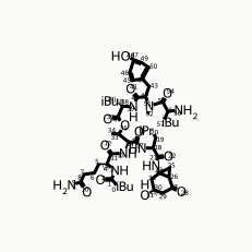 CCC(C)C(=O)N[C@@H](CCCC(N)=O)C(=O)N[C@H](C(=O)NC(CC(C)C)C(=O)NC12CC1C(=O)C[C@@H](O)C2)C(C)OC(=O)C(NC(=O)C(Cc1ccc(O)cc1)N(C)C(=O)C(N)C(C)CC)[C@H](C)CC